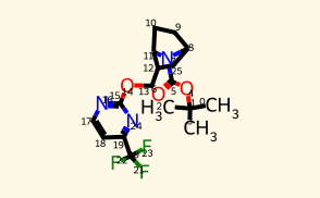 CC(C)(C)OC(=O)N1C2CCC1C(COc1nccc(C(F)(F)F)n1)C2